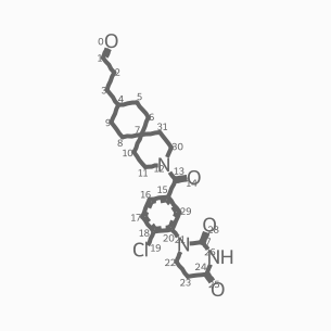 O=CCCC1CCC2(CC1)CCN(C(=O)c1ccc(Cl)c(N3CCC(=O)NC3=O)c1)CC2